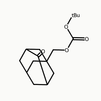 CC(C)(C)OC(=O)OCC12CC3CC(C1)C(=O)C(C3)C2